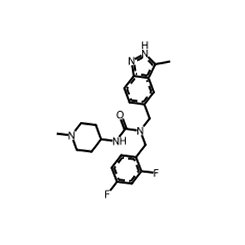 Cc1[nH]nc2ccc(CN(Cc3ccc(F)cc3F)C(=O)NC3CCN(C)CC3)cc12